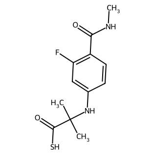 CNC(=O)c1ccc(NC(C)(C)C(=O)S)cc1F